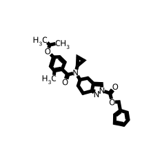 Cc1cc(OC(C)C)ccc1C(=O)N(C1CC1)C1CCc2nn(C(=O)OCc3ccccc3)cc2C1